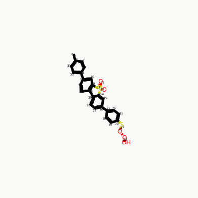 Cc1ccc(-c2ccc3c(c2)S(=O)(=O)c2cc(-c4ccc(SOOO)cc4)ccc2-3)cc1